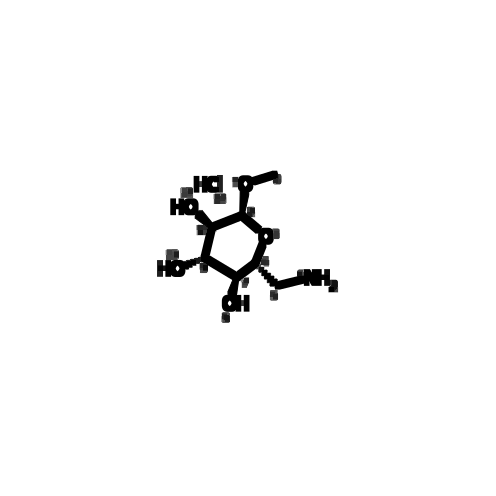 CO[C@H]1O[C@H](CN)[C@@H](O)[C@H](O)[C@H]1O.Cl